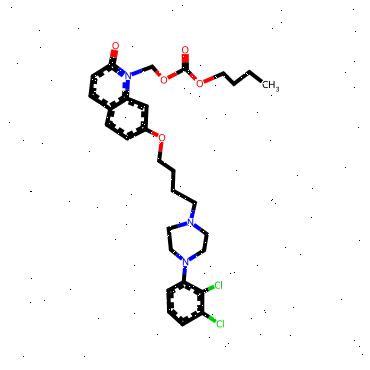 CCCCOC(=O)OCn1c(=O)ccc2ccc(OCCCCN3CCN(c4cccc(Cl)c4Cl)CC3)cc21